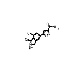 CC(C)N1Cc2cc(-c3cc(C(N)=O)no3)cc(Cl)c2C1=O